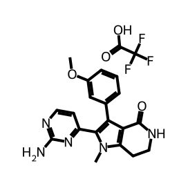 COc1cccc(-c2c3c(n(C)c2-c2ccnc(N)n2)CCNC3=O)c1.O=C(O)C(F)(F)F